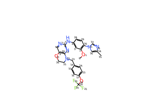 COc1cc(Nc2ncc3c(n2)N(Cc2ccc(OC(F)(F)F)cc2)CCO3)ccc1-n1cnc(C)c1